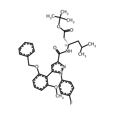 COc1cccc(OCc2ccccc2)c1-c1cc(C(=O)N[C@H](CC(=O)OC(C)(C)C)CC(C)C)nn1-c1ccc(F)cc1